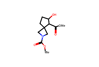 COC(=O)C1C(O)CCC12CN(C(=O)OC(C)(C)C)C2